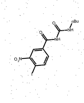 CCCCNC(=O)NC(=O)c1ccc(I)c([N+](=O)[O-])c1